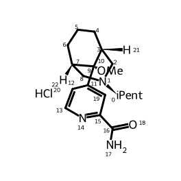 CCC[C@H](C)N1C[C@H]2CCC[C@@H](C1)[C@]2(OC)c1ccnc(C(N)=O)c1.Cl